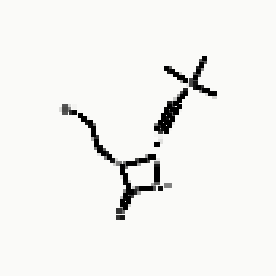 C[Si](C)(C)C#C[C@@H]1NC(=O)[C@H]1CCO